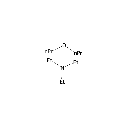 CCCOCCC.CCN(CC)CC